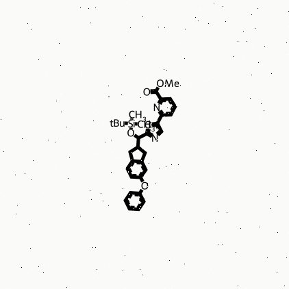 COC(=O)c1cccc(-c2cnc(C(O[Si](C)(C)C(C)(C)C)C3Cc4ccc(Oc5ccccc5)cc4C3)o2)n1